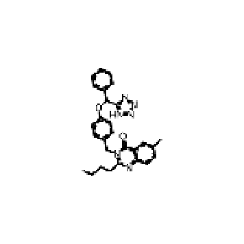 CCCCc1nc2ccc(C)cc2c(=O)n1Cc1ccc(OC(c2ccccc2)c2nnn[nH]2)cc1